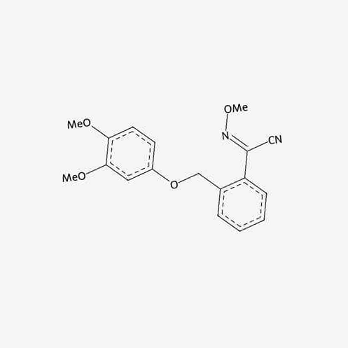 CON=C(C#N)c1ccccc1COc1ccc(OC)c(OC)c1